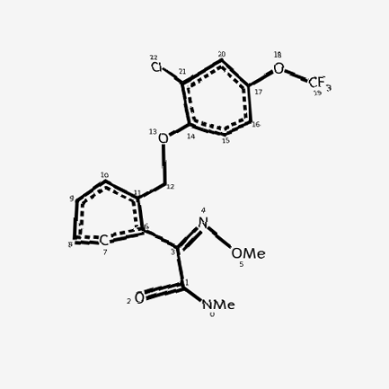 CNC(=O)/C(=N\OC)c1ccccc1COc1ccc(OC(F)(F)F)cc1Cl